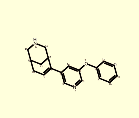 C1=C(c2cncc(Oc3ccccc3)c2)C2CNCC(C1)C2